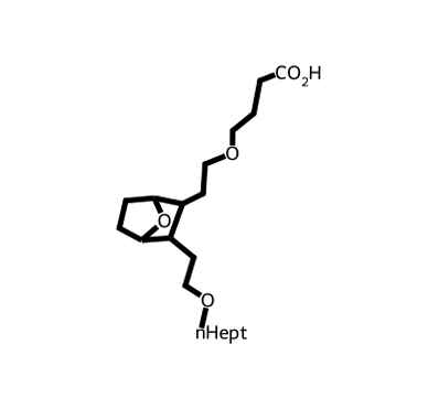 CCCCCCCOCCC1C2CCC(O2)C1CCOCCCC(=O)O